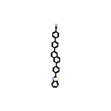 N#Cc1ccc(-c2ccc(-c3ccc4cc(-c5ccc(-c6nc7ccccc7s6)cc5)ccc4c3)cc2)cc1